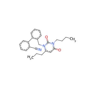 CCCCn1c(=O)cc(CCC)n(Cc2ccccc2-c2ccccc2C#N)c1=O